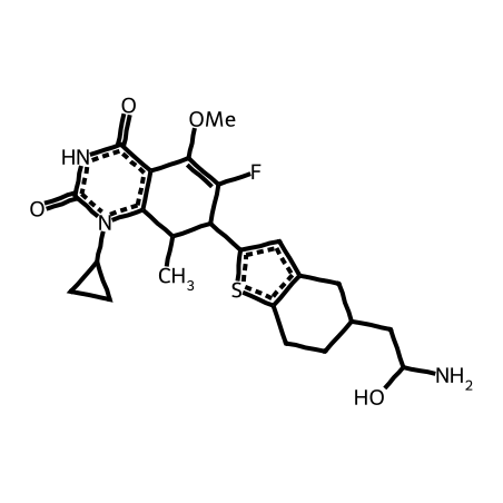 COC1=C(F)C(c2cc3c(s2)CCC(CC(N)O)C3)C(C)c2c1c(=O)[nH]c(=O)n2C1CC1